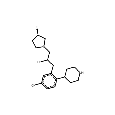 CCC(Cc1cc(Cl)ccc1C1CCNCC1)CN1CC[C@@H](F)C1